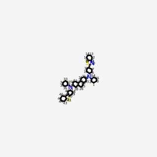 c1ccc(N(c2ccc(-c3nc4ccccc4s3)cc2)c2ccc3c(ccc4cc(N(c5ccccc5)c5ccc6sc7ccccc7c6c5)ccc43)c2)cc1